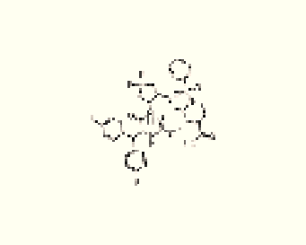 COC(=O)N[C@@H](C(=O)NC1CC(F)(F)CC1CCC1CN(C(=O)O)CCN1S(=O)(=O)c1ccccc1)C(c1ccc(F)cc1)c1ccc(F)cc1